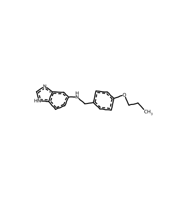 CCCOc1ccc(CNc2ccc3[nH]cnc3c2)cc1